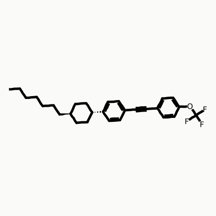 CCCCCCC[C@H]1CC[C@H](c2ccc(C#Cc3ccc(OC(F)(F)F)cc3)cc2)CC1